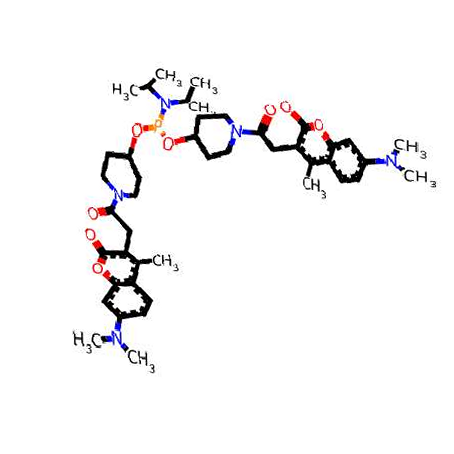 Cc1c(CC(=O)N2CCC(OP(OC3CCN(C(=O)Cc4c(C)c5ccc(N(C)C)cc5oc4=O)CC3)N(C(C)C)C(C)C)CC2)c(=O)oc2cc(N(C)C)ccc12